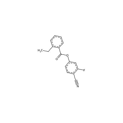 CCc1ccccc1C(=O)Oc1ccc(C#N)c(F)c1